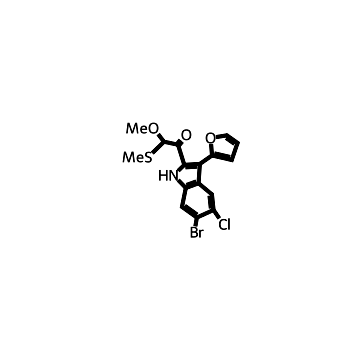 COC(SC)C(=O)c1[nH]c2cc(Br)c(Cl)cc2c1-c1ccco1